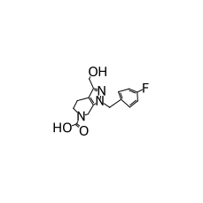 O=C(O)N1CCc2c(CO)nn(Cc3ccc(F)cc3)c2C1